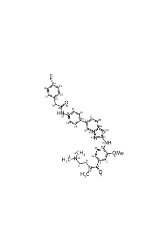 COc1cc(C(=O)N(C)CCN(C)C)ccc1Nc1nc2ccc(-c3ccc(NC(=O)Cc4ccc(F)cc4)cc3)cn2n1